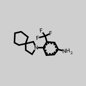 Nc1ccc(N2CCC3(CCCCC3)C2)c(C(F)(F)F)c1